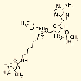 CCC(=O)NP(=O)(OCCCCCCNC(=O)OC(C)(C)C)OC[C@H]1O[C@@H](n2cnc3c(N)ncnc32)[C@@H]2OC(C)(C)O[C@@H]21